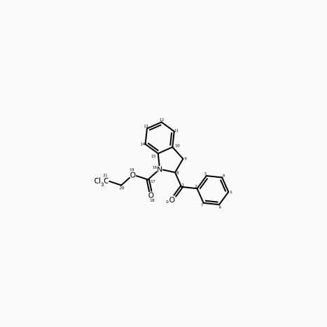 O=C(c1ccccc1)C1Cc2ccccc2N1C(=O)OCC(Cl)(Cl)Cl